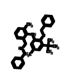 Cc1cc(Pc2c(C)cccc2CNCc2ccccc2)c(OCc2ccccc2)c(C(C)(C)C)c1